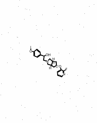 OC(CN1C[C@H]2C[C@H](Oc3cccnc3F)C[C@H]2C1)c1ccc(OI)cc1